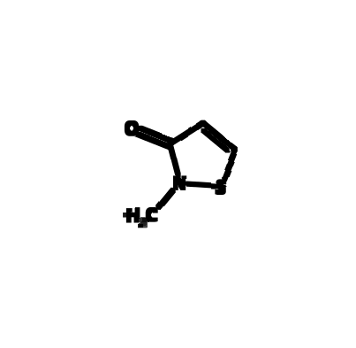 [CH2]n1sccc1=O